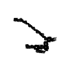 COCCOCCOCCOCCOCCOCCOc1ccc(Cl)cc1-c1ccc2c(NCc3ccc(OC)cc3OC)cnnc2c1